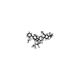 CCOc1ncccc1-c1ccc(C2(C(=O)N[C@@H](C)CN(C)C)CCN(c3ccc(C(F)(F)F)cc3C#N)CC2)cn1